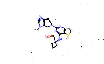 Cn1cnc2c1CN(c1nc3c(c(NC4(CO)CCC4)n1)[S@+]([O-])CC3)CC2